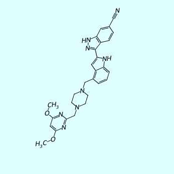 COc1cc(OC)nc(CN2CCN(Cc3cccc4[nH]c(-c5n[nH]c6cc(C#N)ccc56)cc34)CC2)n1